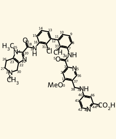 COc1cc(C(=O)Nc2cccc(-c3cccc(NC(=O)c4nc5c(n4C)CCN(C)C5)c3Cl)c2C)ncc1CNc1ccnc(C(=O)O)c1